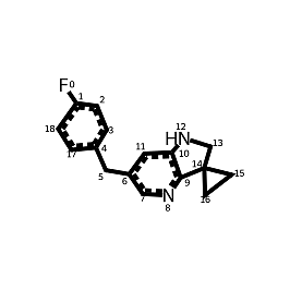 Fc1ccc(Cc2cnc3c(c2)NCC32CC2)cc1